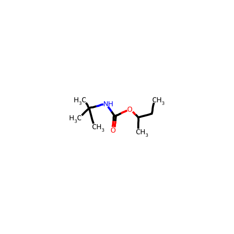 CCC(C)OC(=O)NC(C)(C)C